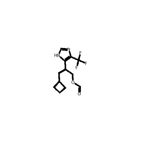 O=COCC(CC1CCC1)c1[nH]cnc1C(F)(F)F